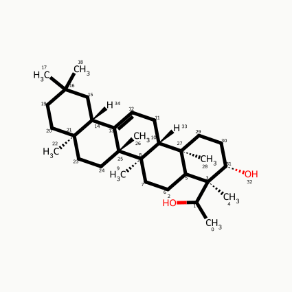 CC(O)[C@@]1(C)C2CC[C@]3(C)[C@H](CC=C4[C@H]5CC(C)(C)CC[C@]5(C)CC[C@]43C)[C@@]2(C)CC[C@@H]1O